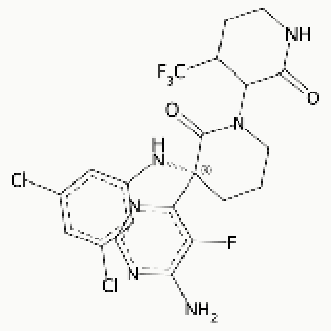 Nc1ncnc([C@]2(Nc3cc(Cl)cc(Cl)c3)CCCN(C3C(=O)NCCC3C(F)(F)F)C2=O)c1F